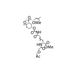 COC(=O)[C@H](CSCC(=O)NC(=O)O[C@@H]1CC[C@]2(CO2)[C@@H](C2(C)O[C@@H]2CC=C(C)C)[C@@H]1OC)NC(=O)COCC(C)=O